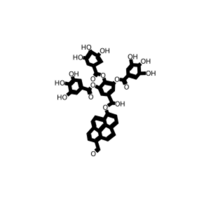 O=Cc1ccc2ccc3c(OC(O)c4cc(OC(=O)C5=CC(O)C(O)C(O)=C5)c(OC(=O)C5C=C(O)C(O)=C(O)C5)c(OC(=O)c5cc(O)c(O)c(O)c5)c4)ccc4ccc1c2c43